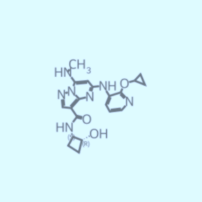 CNc1cc(Nc2cccnc2OC2CC2)nc2c(C(=O)N[C@H]3CC[C@H]3O)cnn12